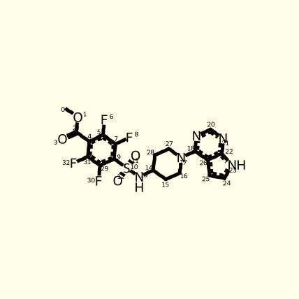 COC(=O)c1c(F)c(F)c(S(=O)(=O)NC2CCN(c3ncnc4[nH]ccc34)CC2)c(F)c1F